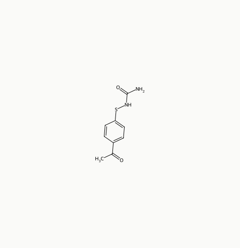 CC(=O)c1ccc(SNC(N)=O)cc1